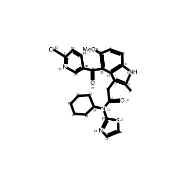 COc1ccc2[nH]c(C)c(CC(=O)N(c3nccs3)C3CCCCC3)c2c1C(=O)c1ccc(Cl)nc1